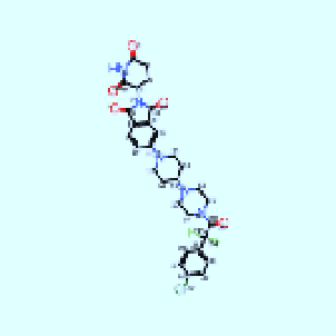 O=C1CCC(N2C(=O)c3ccc(N4CCC(N5CCN(C(=O)C(F)(F)c6ccc(Cl)cc6)CC5)CC4)cc3C2=O)C(=O)N1